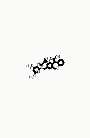 CC(C#N)=C1c2ccc(Cn3c(C4CC4)nc4c(C)cc(C)nc43)cc2COc2ccccc21